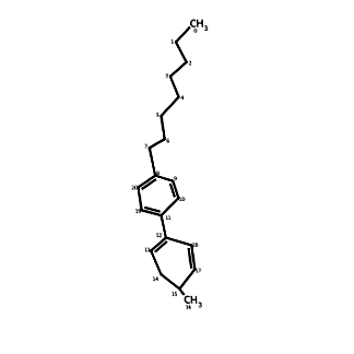 CCCCCCCCc1ccc(C2=CCC(C)C=C2)cc1